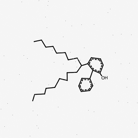 CCCCCCCCCC(CCCCCCCC)c1cccc(O)c1-c1ccccc1